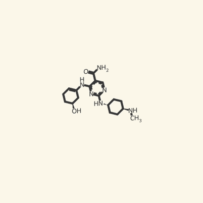 CN[C@H]1CC[C@H](Nc2ncc(C(N)=O)c(NC3=CCC[C@H](O)C3)n2)CC1